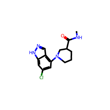 CNC(=O)C1CCCN(c2cc(Cl)cc3[nH]ncc23)C1